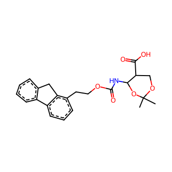 CC1(C)OCC(C(=O)O)C(NC(=O)OCCc2cccc3c2Cc2ccccc2-3)O1